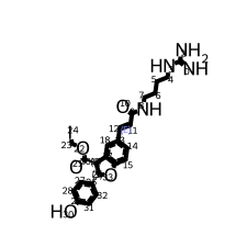 N=C(N)NCCCCNC(=O)/C=C/c1ccc2c(c1)[C@H](C(=O)OCI)[C@@H](c1ccc(O)cc1)O2